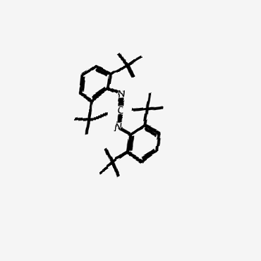 CC(C)(C)c1cccc(C(C)(C)C)c1N=C=Nc1c(C(C)(C)C)cccc1C(C)(C)C